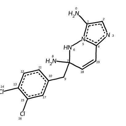 Nc1cnc2n1NC(N)(Cc1ccc(Cl)c(Cl)c1)C=C2